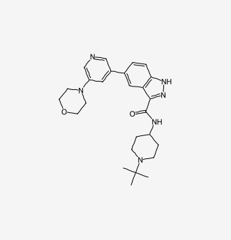 CC(C)(C)N1CCC(NC(=O)c2n[nH]c3ccc(-c4cncc(N5CCOCC5)c4)cc23)CC1